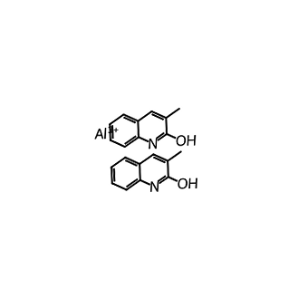 Cc1cc2ccccc2nc1O.Cc1cc2ccccc2nc1O.[Al+3]